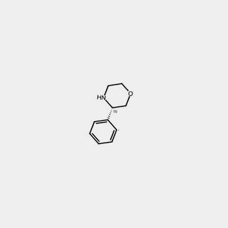 [c]1ccccc1[C@H]1COCCN1